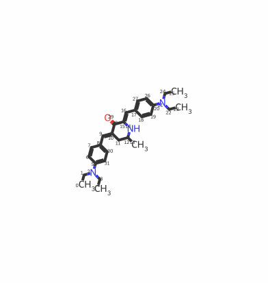 CCN(CC)c1ccc(C=C2CC(C)NC(=Cc3ccc(N(CC)CC)cc3)C2=O)cc1